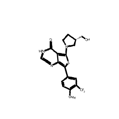 COc1ccc(-c2sc(N3CC[C@H](CO)C3)c3c(=O)[nH]cnc23)cc1C(F)(F)F